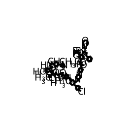 Cc1ncsc1-c1ccc([C@H](C)NC(=O)[C@@H]2C[C@@H](O)CN2C(=O)[C@@H](NC(=O)CCS(=O)(=O)N2CCN(C[C@]3(C)CCC(c4ccc(Cl)cc4)=C(CN4CCN(c5ccc(C(=O)NS(=O)(=O)c6ccc(N[C@H](CCN7CCCOCC7)CSc7ccccc7)c(S(=O)(=O)C(F)(F)F)c6)cc5)CC4)C3)CC2)C(C)(C)C)cc1